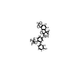 Cc1cccc(-c2cc(NC(=O)C3(c4ccc5c(c4)OCO5)CC3)ccc2OC(F)(F)F)c1